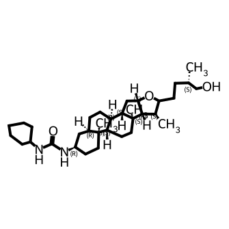 C[C@H](CO)CCC1O[C@H]2C[C@H]3[C@@H]4CC[C@@H]5C[C@H](NC(=O)NC6CCCCC6)CC[C@]5(C)[C@H]4CC[C@]3(C)[C@H]2[C@@H]1C